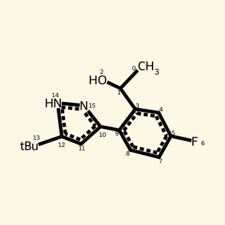 CC(O)c1cc(F)ccc1-c1cc(C(C)(C)C)[nH]n1